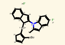 CCCCC1=[C]([Zr+2][CH]2C(n3c(C)cc4ccccc43)=Cc3ccccc32)CC=C1.[F-].[F-]